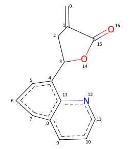 C=C1CC(c2cccc3cccnc23)OC1=O